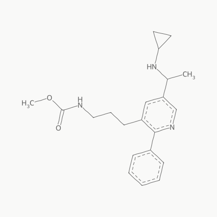 COC(=O)NCCCc1cc(C(C)NC2CC2)cnc1-c1ccccc1